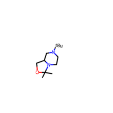 CC(C)(C)N1CCN2C(COC2(C)C)C1